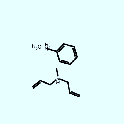 C=CC[SiH](C)CC=C.Nc1ccccc1.O